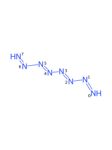 N=N/N=N/N=N/N=N